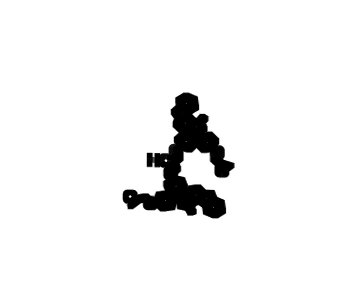 CC1CC(c2ccc(OCC(O)COc3ccc(C4(c5ccc(OCC6CO6)cc5)CC(C)c5c4ccc4c5-c5ccccc5C4)cc3)cc2)(c2ccc(OCC3CO3)cc2)c2ccc3c(c21)-c1ccccc1C3